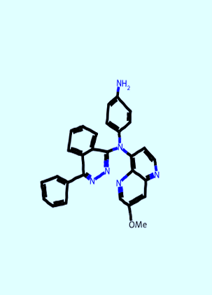 COc1cnc2c(N(c3ccc(N)cc3)c3nnc(-c4ccccc4)c4ccccc34)ccnc2c1